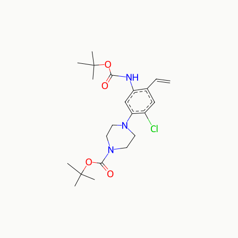 C=Cc1cc(Cl)c(N2CCN(C(=O)OC(C)(C)C)CC2)cc1NC(=O)OC(C)(C)C